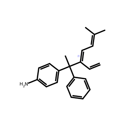 C=C/C(=C\C=C(C)C)C(C)(c1ccccc1)c1ccc(N)cc1